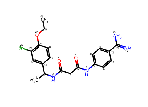 CC(NC(=O)CC(=O)Nc1ccc(C(=N)N)cc1)c1ccc(OCC(F)(F)F)c(Br)c1